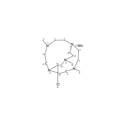 CN1CCN2CCN(C)CCN(CC1)C(Cl)CN(C)CC2.[Mn]